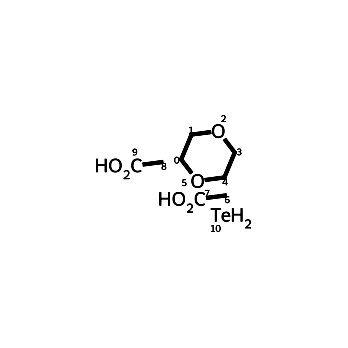 C1COCCO1.CC(=O)O.CC(=O)O.[TeH2]